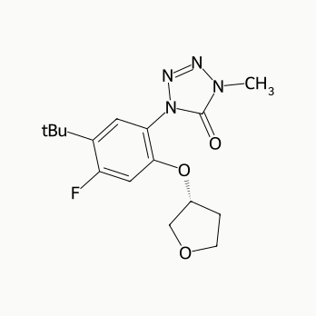 Cn1nnn(-c2cc(C(C)(C)C)c(F)cc2O[C@@H]2CCOC2)c1=O